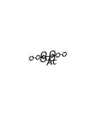 CC(=O)c1cc(OC(=O)c2ccc(-c3ccccc3)cc2)ccc1OC(=O)c1ccc(-c2ccccc2)cc1